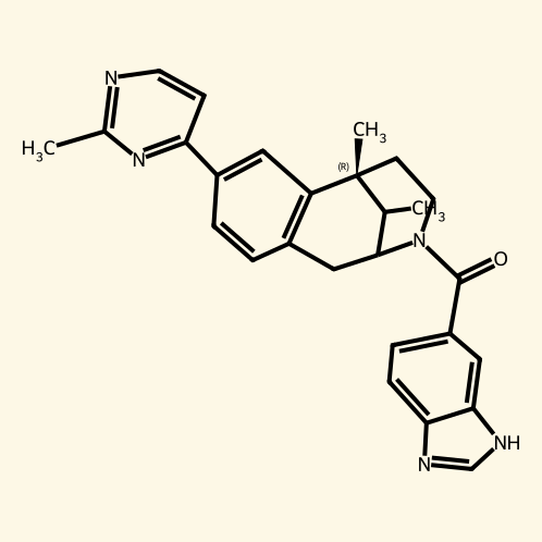 Cc1nccc(-c2ccc3c(c2)[C@]2(C)CCN(C(=O)c4ccc5nc[nH]c5c4)C(C3)C2C)n1